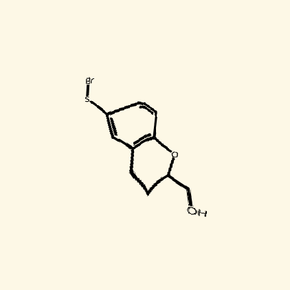 OCC1CCc2cc(SBr)ccc2O1